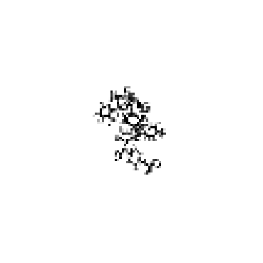 CC(=O)N1CCN(C(=O)N2CC[C@](c3ccc(C(OCc4c(F)cccc4C#N)(C(F)(F)F)C(F)(F)F)cc3)(S(=O)(=O)c3ccc(F)cc3)C2)CC1